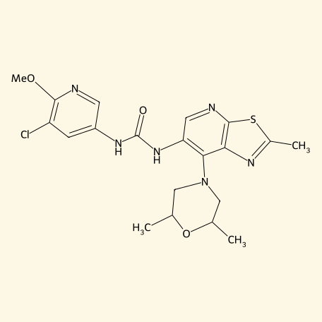 COc1ncc(NC(=O)Nc2cnc3sc(C)nc3c2N2CC(C)OC(C)C2)cc1Cl